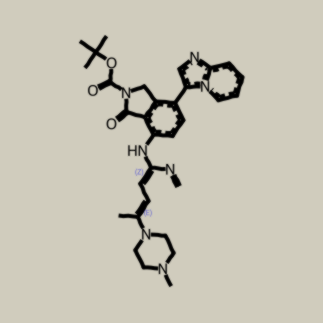 C=N/C(=C\C=C(/C)N1CCN(C)CC1)Nc1ccc(-c2cnc3ccccn23)c2c1C(=O)N(C(=O)OC(C)(C)C)C2